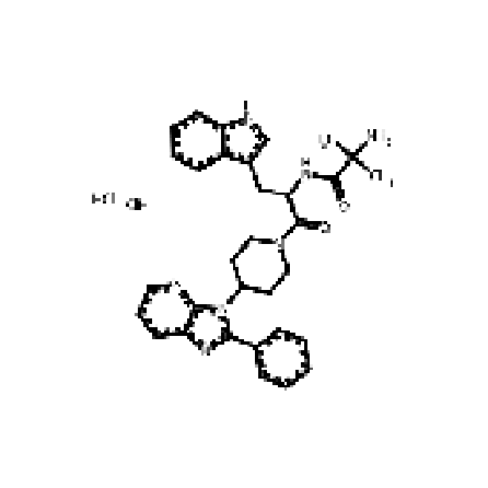 CC(C)(N)C(=O)N[C@H](Cc1c[nH]c2ccccc12)C(=O)N1CCC(n2c(-c3ccccc3)nc3cccnc32)CC1.Cl.Cl